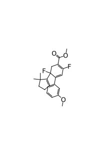 COC(=O)C1=C(F)C=C(c2cccc(OC)c2)C(F)(C2=CCCC2(C)C)C1